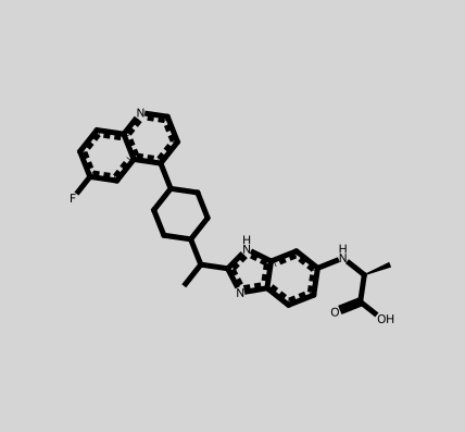 CC(c1nc2ccc(N[C@@H](C)C(=O)O)cc2[nH]1)C1CCC(c2ccnc3ccc(F)cc23)CC1